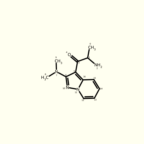 CC(N)C(=O)c1c(N(C)C)nn2ccccc12